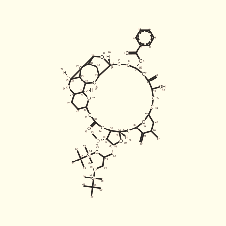 C=C1C[C@@H](OC(=O)c2ccccc2)CC[C@H]2OC3C4CC2OC2C(O4)[C@H]3OC3CCC(CC(=O)CC4[C@H](CC5OC(CCC1O)CC(C)C5=C)O[C@H](CC(CO[Si](C)(C)C(C)(C)C)O[Si](C)(C)C(C)(C)C)[C@@H]4OC)O[C@@H]32